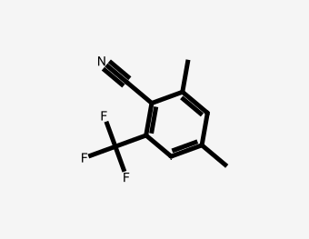 Cc1[c]c(C(F)(F)F)c(C#N)c(C)c1